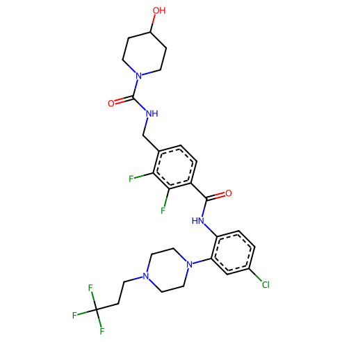 O=C(Nc1ccc(Cl)cc1N1CCN(CCC(F)(F)F)CC1)c1ccc(CNC(=O)N2CCC(O)CC2)c(F)c1F